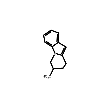 O=C(O)C1CCc2cc3ccccc3n2C1